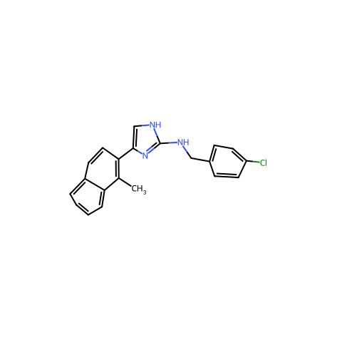 Cc1c(-c2c[nH]c(NCc3ccc(Cl)cc3)n2)ccc2ccccc12